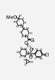 COC1(C)CCN(C2CCN(C(=O)OC[C@H]3CCC[C@@H](C4CC4)N3S(=O)(=O)c3ccc(Cl)cc3)CC2)CC1